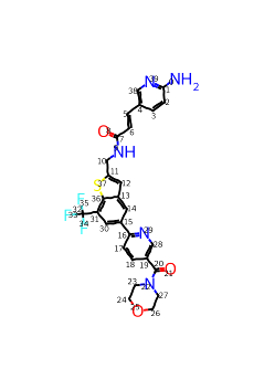 Nc1ccc(/C=C/C(=O)NCc2cc3cc(-c4ccc(C(=O)N5CCOCC5)cn4)cc(C(F)(F)F)c3s2)cn1